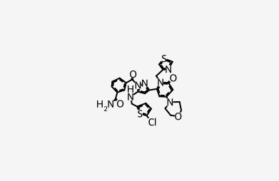 NC(=O)c1cccc(C(=O)n2nc(-c3cc(N4CCOCC4)cc(=O)n3Cc3cscn3)cc2NCc2ccc(Cl)s2)c1